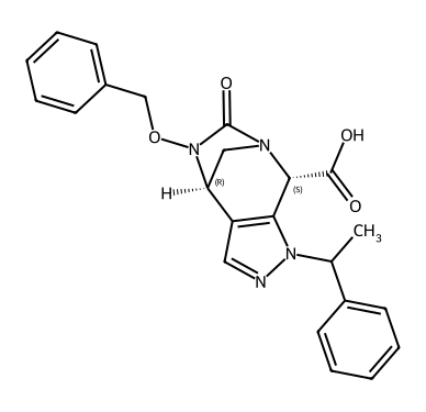 CC(c1ccccc1)n1ncc2c1[C@@H](C(=O)O)N1C[C@@H]2N(OCc2ccccc2)C1=O